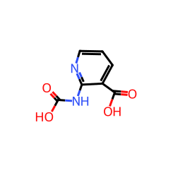 O=C(O)Nc1ncccc1C(=O)O